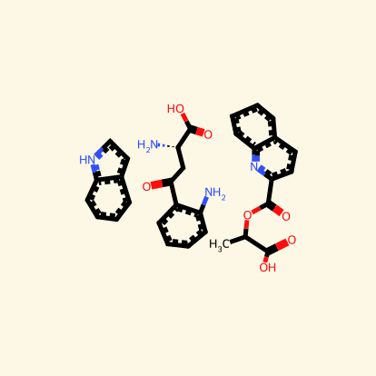 CC(OC(=O)c1ccc2ccccc2n1)C(=O)O.Nc1ccccc1C(=O)C[C@H](N)C(=O)O.c1ccc2[nH]ccc2c1